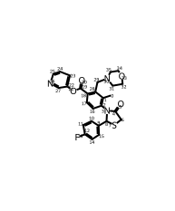 Cc1c(N2C(=O)CSC2c2ccc(F)cc2)ccc(C(=O)Oc2cccnc2)c1CN1CCOCC1